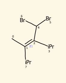 C/C(=C(/C(C)C)C(Br)Br)C(C)C